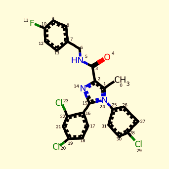 Cc1c(C(=O)NCc2ccc(F)cc2)nc(-c2ccc(Cl)cc2Cl)n1-c1ccc(Cl)cc1